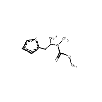 CN(C(=O)OC(C)(C)C)[C@H](Cc1cccs1)C(=O)O